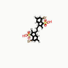 CC1=C(S(=O)(=O)O)c2c(Br)cc(C)cc2C1CCC1C(C)=C(S(=O)(=O)O)c2c(Br)cc(C)cc21